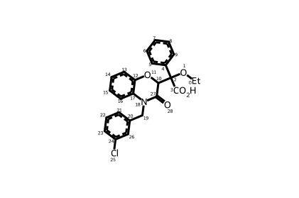 CCOC(C(=O)O)(c1ccccc1)C1Oc2ccccc2N(Cc2cccc(Cl)c2)C1=O